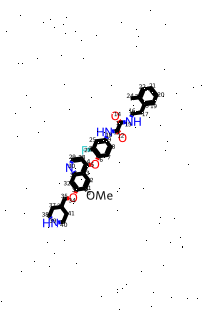 COc1cc2c(Oc3ccc(NC(=O)C(=O)NCCc4ccccc4C)cc3F)ccnc2cc1OCC1CCNCC1